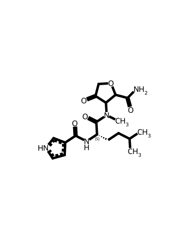 CC(C)CC[C@H](NC(=O)c1cc[nH]c1)C(=O)N(C)C1C(=O)COC1C(N)=O